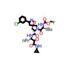 CCC[C@H](NC(=O)[C@@H]1C[C@]2(CC(c3cccc(Cl)c3)=NO2)CN1C(=O)[C@@H](NC(=O)OCF)C(C)(C)C)C(=O)C(=O)NC1CC1